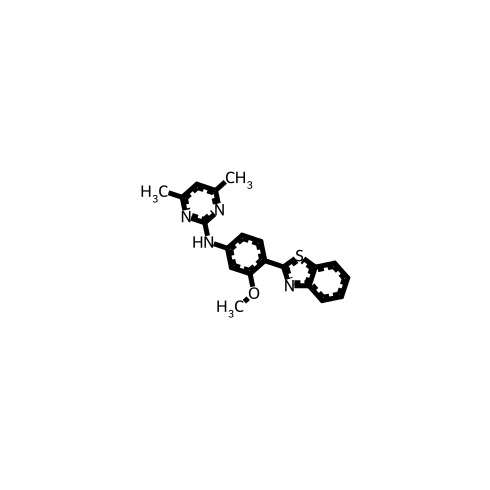 COc1cc(Nc2nc(C)cc(C)n2)ccc1-c1nc2ccccc2s1